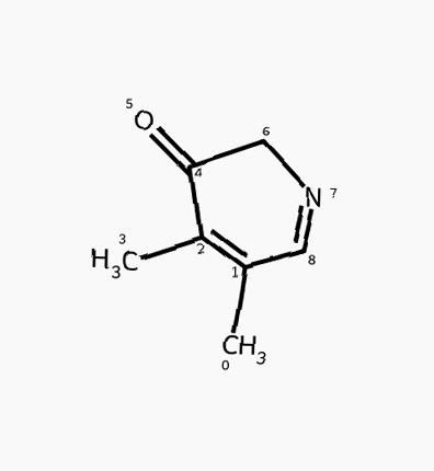 CC1=C(C)C(=O)CN=C1